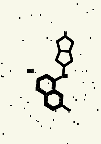 Cl.Fc1ccc2nccc(NC3CC4CNCC4C3)c2c1